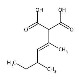 CCC(C)C=C(C)C(C(=O)O)C(=O)O